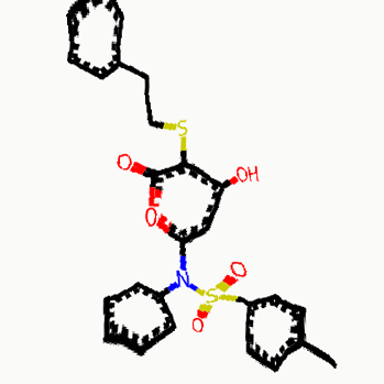 Cc1ccc(S(=O)(=O)N(c2ccccc2)c2cc(O)c(SCCc3ccccc3)c(=O)o2)cc1